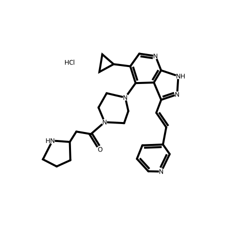 Cl.O=C(CC1CCCN1)N1CCN(c2c(C3CC3)cnc3[nH]nc(C=Cc4cccnc4)c23)CC1